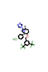 Cl.FC(F)(F)c1cc(CO[C@@H]2CC[C@@H]3N[C@@]2(c2ccccc2)C[C@H]3n2cnnc2)cc(C(F)(F)F)c1